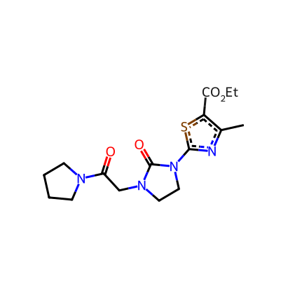 CCOC(=O)c1sc(N2CCN(CC(=O)N3CCCC3)C2=O)nc1C